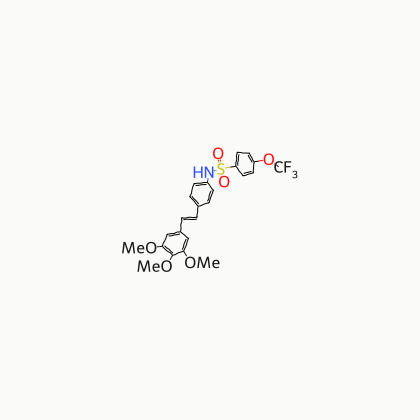 COc1cc(C=Cc2ccc(NS(=O)(=O)c3ccc(OC(F)(F)F)cc3)cc2)cc(OC)c1OC